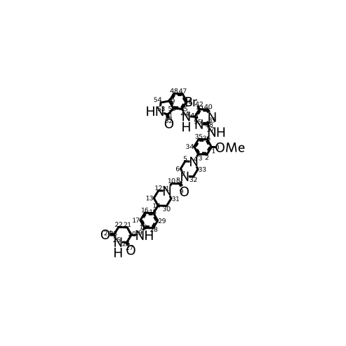 COc1cc(N2CCN(C(=O)CN3CCC(c4ccc(NC5CCC(=O)NC5=O)cc4)CC3)CC2)ccc1Nc1ncc(Br)c(Nc2cccc3c2C(=O)NC3)n1